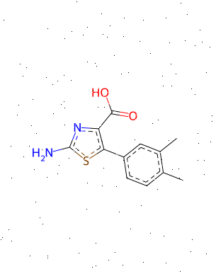 Cc1ccc(-c2sc(N)nc2C(=O)O)cc1C